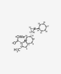 COC(=O)c1c(C)cc2ccc([C@@H]3C[C@H]3c3ccccc3)cn12